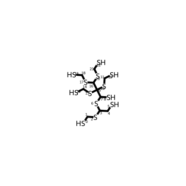 SCSC(CS)SC(S)C(SCS)(SCS)C(SCS)SCS